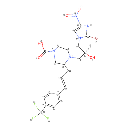 C[C@](O)(CN1CCN(C(=O)O)CC1CC=Cc1ccc(C(F)(F)F)cc1)Cn1cc([N+](=O)[O-])nc1Br